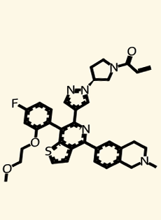 C=CC(=O)N1CC[C@H](n2cc(-c3nc(-c4ccc5c(c4)CCN(C)C5)c4ccsc4c3-c3ccc(F)cc3OCCOC)cn2)C1